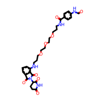 O=CNc1ccc(C(=O)NCCCOCCOCCOCCCNc2cccc3c2C(=O)N(C2CCC(=O)NC2=O)C3=O)cc1